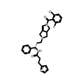 O=C(CCc1cccs1)N[C@@H](CCN1CC2=CN(C(=O)c3c(F)cccc3Cl)CC2C1)c1ccccc1